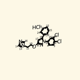 Cl.Clc1ccc(-n2nc(OCCn3ccnc3)cc2-c2ccccc2)cc1Cl